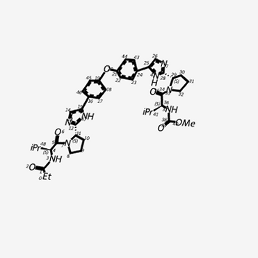 CCC(=O)N[C@H](C(=O)N1CCC[C@H]1c1ncc(-c2ccc(Oc3ccc(-c4cnc([C@@H]5CCCN5C(=O)[C@@H](NC(=O)OC)C(C)C)[nH]4)cc3)cc2)[nH]1)C(C)C